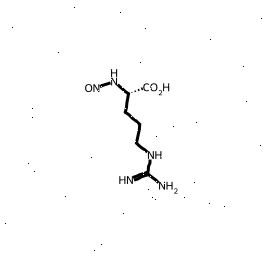 N=C(N)NCCC[C@H](NN=O)C(=O)O